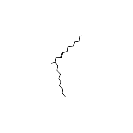 [CH2]CCCCCC=CCC(C)CCCCCCCC[CH2]